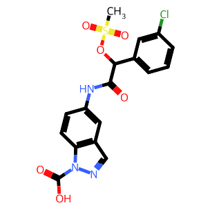 CS(=O)(=O)OC(C(=O)Nc1ccc2c(cnn2C(=O)O)c1)c1cccc(Cl)c1